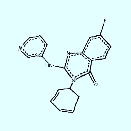 O=c1c2ccc(F)cc2nc(Nc2cccnc2)n1C1C=CC=CC1